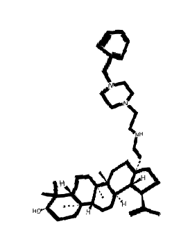 C=C(C)[C@@H]1CC[C@]2(CCNCCN3CCN(Cc4ccccc4)CC3)CC[C@]3(C)[C@H](CC[C@@H]4[C@@]5(C)CC[C@H](O)C(C)(C)[C@@H]5CC[C@]43C)[C@@H]12